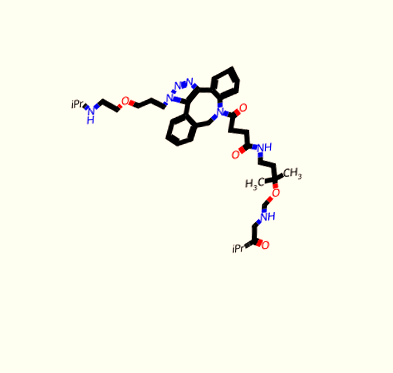 CC(C)NCCOCCCn1nnc2c1-c1ccccc1CN(C(=O)CCC(=O)NCCC(C)(C)OCNCC(=O)C(C)C)c1ccccc1-2